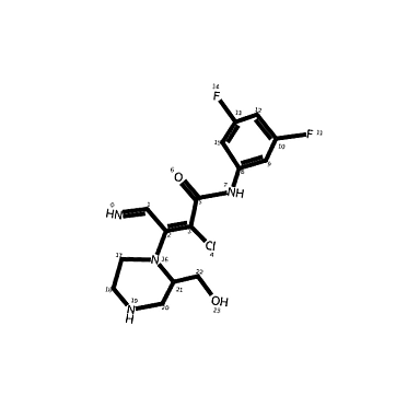 N=C/C(=C(/Cl)C(=O)Nc1cc(F)cc(F)c1)N1CCNCC1CO